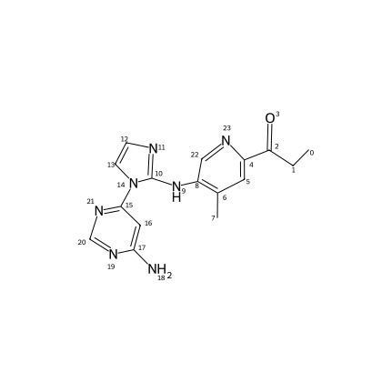 CCC(=O)c1cc(C)c(Nc2nccn2-c2cc(N)ncn2)cn1